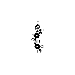 O=C(NCc1ccc(C(F)(F)F)c(Cl)c1)c1ccc(S(=O)(=O)Nc2ncc(F)s2)cc1F